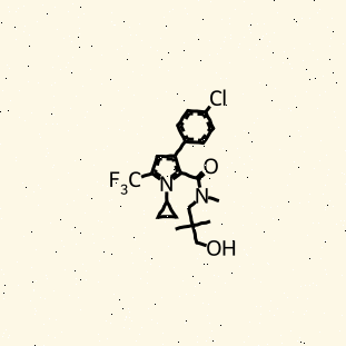 CN(CC(C)(C)CO)C(=O)c1c(-c2ccc(Cl)cc2)cc(C(F)(F)F)n1C1CC1